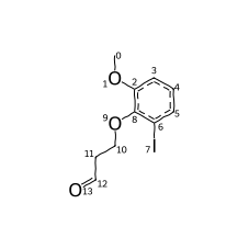 COc1cccc(I)c1OCCC=O